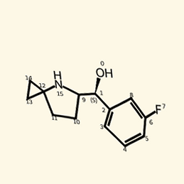 O[C@@H](c1cccc(F)c1)C1CCC2(CC2)N1